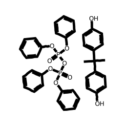 CC(C)(c1ccc(O)cc1)c1ccc(O)cc1.O=P(Oc1ccccc1)(Oc1ccccc1)OP(=O)(Oc1ccccc1)Oc1ccccc1